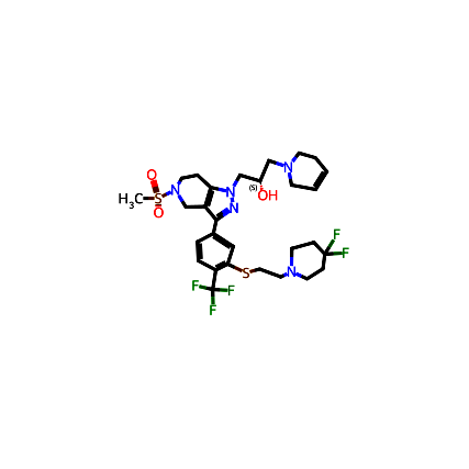 CS(=O)(=O)N1CCc2c(c(-c3ccc(C(F)(F)F)c(SCCN4CCC(F)(F)CC4)c3)nn2C[C@@H](O)CN2CC=CCC2)C1